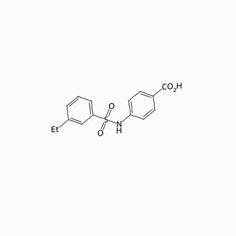 CCc1cccc(S(=O)(=O)Nc2ccc(C(=O)O)cc2)c1